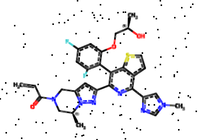 C=CC(=O)N1Cc2cc(-c3nc(-c4cn(C)cn4)c4ccsc4c3-c3c(F)cc(F)cc3OC[C@@H](C)O)nn2[C@@H](C)C1